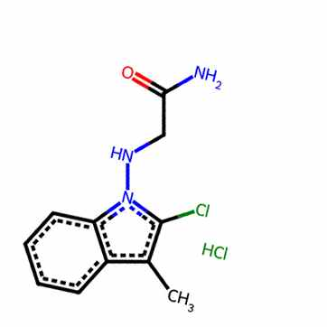 Cc1c(Cl)n(NCC(N)=O)c2ccccc12.Cl